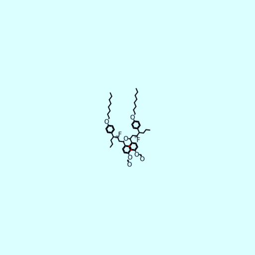 CCCCCCCCOc1ccc(C(CCC)[C@H](F)CC(OC(C[C@@H](F)C(CCC)c2ccc(OCCCCCCCC)cc2)c2ccc(OC=O)cc2)c2ccc(OC=O)cc2)cc1